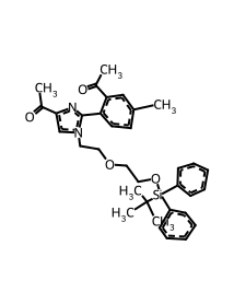 CC(=O)c1cn(CCOCCO[Si](c2ccccc2)(c2ccccc2)C(C)(C)C)c(-c2ccc(C)cc2C(C)=O)n1